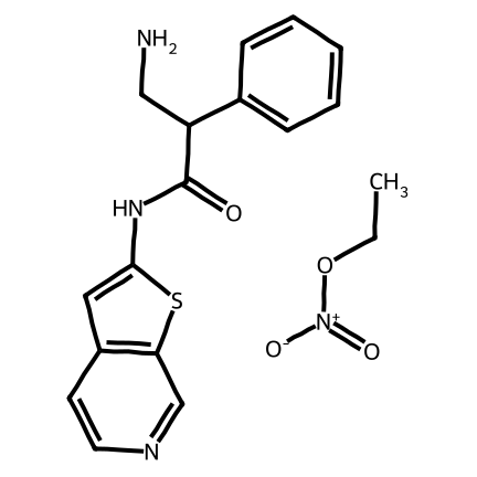 CCO[N+](=O)[O-].NCC(C(=O)Nc1cc2ccncc2s1)c1ccccc1